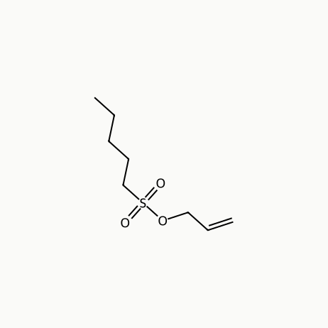 C=CCOS(=O)(=O)CCCCC